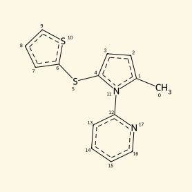 Cc1ccc(Sc2cccs2)n1-c1ccccn1